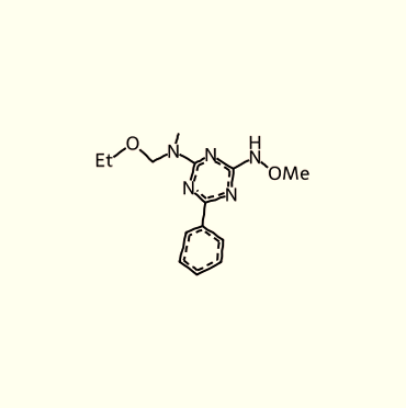 CCOCN(C)c1nc(NOC)nc(-c2ccccc2)n1